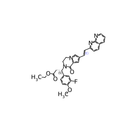 CCOC(=O)C[C@@H](c1ccc(OC)c(F)c1)N1CCn2cc(/C=C/c3ccc4cccnc4n3)cc2C1=O